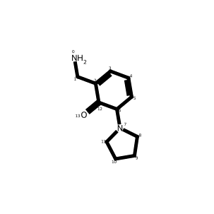 NCC1=CC=CC(N2CCCC2)C1=O